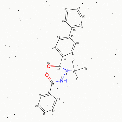 CC(C)(C)N(NC(=O)c1ccccc1)C(=O)c1ccc(-c2ccccc2)cc1